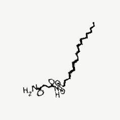 CCCCCCCCCCCCCCCCCCS(=O)(=O)NC(=O)CCC(N)=O